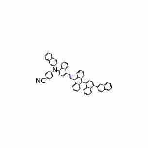 N#Cc1ccc(N(c2ccc3ccccc3c2)c2ccc(/C=C/c3c4ccccc4c(-c4ccc(-c5ccc6ccccc6c5)c5ccccc45)c4ccccc34)c3ccccc23)cc1